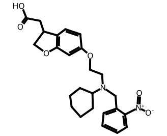 O=C(O)CC1COc2cc(OCCN(Cc3ccccc3[N+](=O)[O-])C3CCCCC3)ccc21